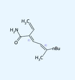 C=C/C(=C\C=C(/C)CCCC)C(N)=O